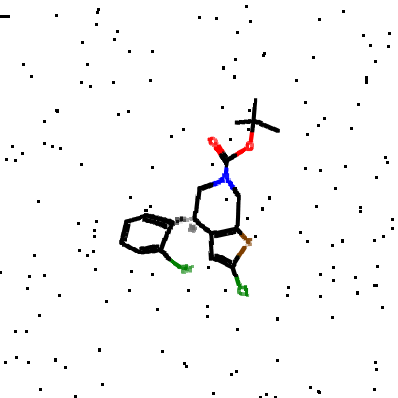 CC(C)(C)OC(=O)N1Cc2sc(Cl)cc2[C@H](c2ccccc2Br)C1